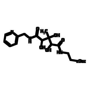 CCCCCCCCCCCCNC(=O)C(O)C(C)(O)C(O)C(=O)NCc1ccccn1